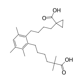 Cc1cc(C)c(CCCCC2(C(=O)O)CC2)c(CCCCC(C)(C)C(=O)O)c1C